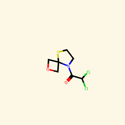 O=C(C(Cl)Cl)N1CCSC12COC2